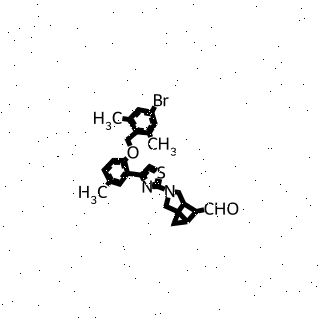 Cc1ccc(OCc2c(C)cc(Br)cc2C)c(-c2csc(N3CC4C(C=O)C5CC45C3)n2)c1